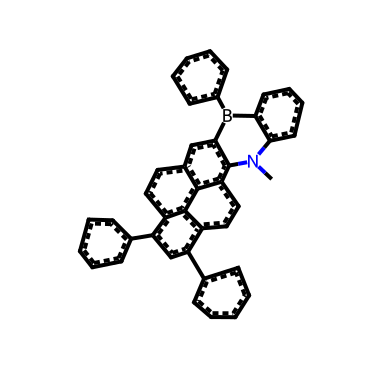 CN1c2ccccc2B(c2ccccc2)c2cc3ccc4c(-c5ccccc5)cc(-c5ccccc5)c5ccc(c21)c3c45